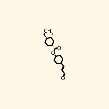 CC[C@H]1CC[C@H](C(=O)OC2CCC(/C=C/C=O)CC2)CC1